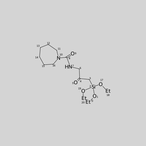 CCO[Si](CC(=O)CNC(=O)N1CCCCCC1)(OCC)OCC